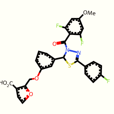 COc1cc(F)c(C(=O)N2N=C(c3ccc(F)cc3)SC2c2cccc(OCc3occc3C(=O)O)c2)c(F)c1